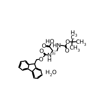 CC(C)(C)OC(=O)NC[C@H](NC(=O)OCC1c2ccccc2-c2ccccc21)C(=O)O.O